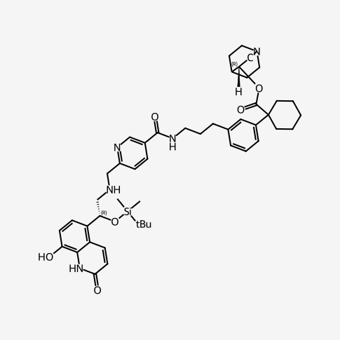 CC(C)(C)[Si](C)(C)O[C@@H](CNCc1ccc(C(=O)NCCCc2cccc(C3(C(=O)O[C@H]4CN5CCC4CC5)CCCCC3)c2)cn1)c1ccc(O)c2[nH]c(=O)ccc12